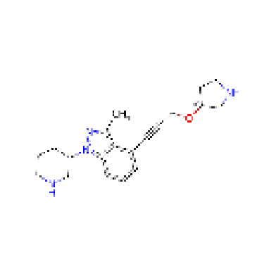 Cc1nn(C2CCCNC2)c2cccc(C#CCO[C@H]3CCNC3)c12